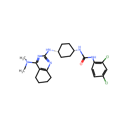 CN(C)c1nc(N[C@H]2CC[C@@H](NC(=O)Nc3ccc(Cl)cc3Cl)CC2)nc2c1CCCC2